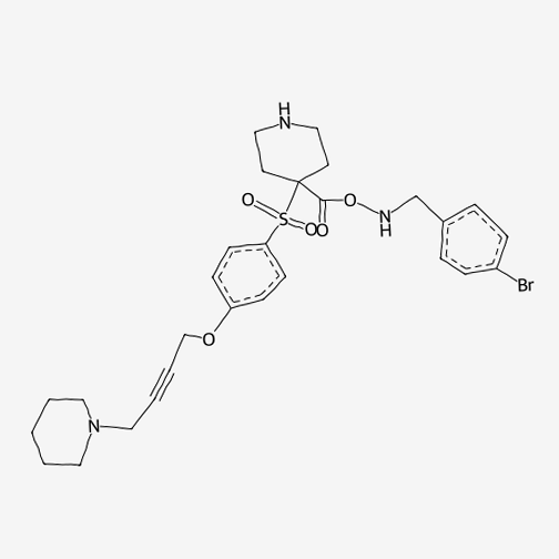 O=C(ONCc1ccc(Br)cc1)C1(S(=O)(=O)c2ccc(OCC#CCN3CCCCC3)cc2)CCNCC1